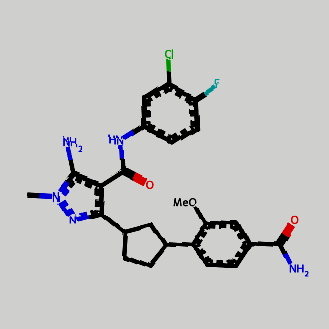 COc1cc(C(N)=O)ccc1C1CCC(c2nn(C)c(N)c2C(=O)Nc2ccc(F)c(Cl)c2)C1